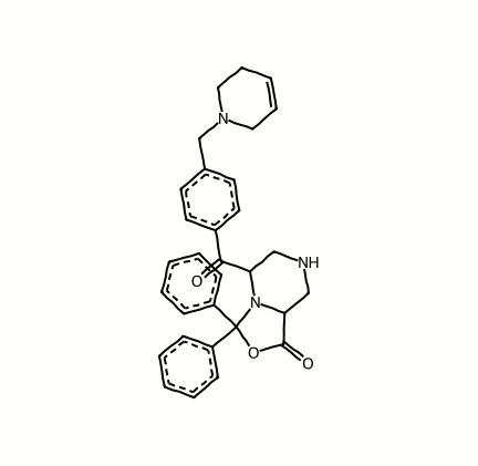 O=C1OC(c2ccccc2)(c2ccccc2)N2C1CNCC2C(=O)c1ccc(CN2CC=CCC2)cc1